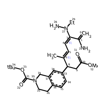 C=C(N)/C(=C\C=C(/C)C(CC(=O)OC)c1ccc2c(c1)CN(C(=O)OC(C)(C)C)CC2)N(N)CC